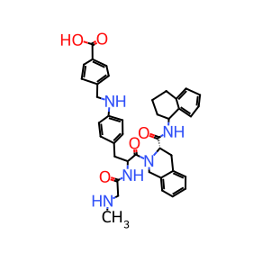 CNCC(=O)NC(Cc1ccc(NCc2ccc(C(=O)O)cc2)cc1)C(=O)N1Cc2ccccc2C[C@H]1C(=O)NC1CCCc2ccccc21